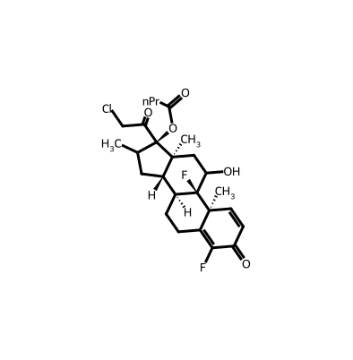 CCCC(=O)O[C@]1(C(=O)CCl)C(C)C[C@H]2[C@@H]3CCC4=C(F)C(=O)C=C[C@]4(C)[C@@]3(F)C(O)C[C@@]21C